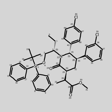 CC[C@@H](CO[Si](c1ccccc1)(c1ccccc1)C(C)(C)C)N1C(=O)[C@H](C(C)C(=O)OC)C[C@H](c2cccc(Cl)c2)[C@H]1c1ccc(Cl)cc1